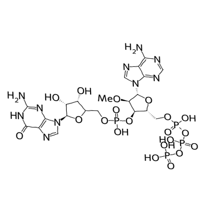 CO[C@@H]1[C@H](OP(=O)(O)OCC2O[C@@H](n3cnc4c(=O)[nH]c(N)nc43)[C@H](O)[C@@H]2O)[C@@H](COP(=O)(O)OP(=O)(O)OP(=O)(O)O)O[C@H]1n1cnc2c(N)ncnc21